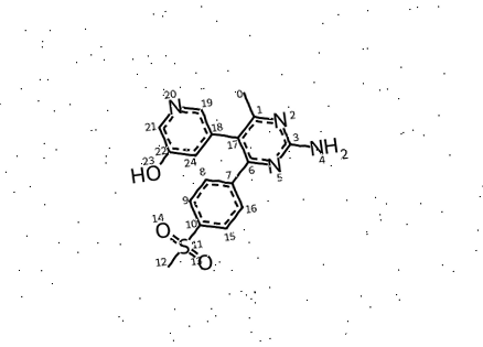 Cc1nc(N)nc(-c2ccc(S(C)(=O)=O)cc2)c1-c1cncc(O)c1